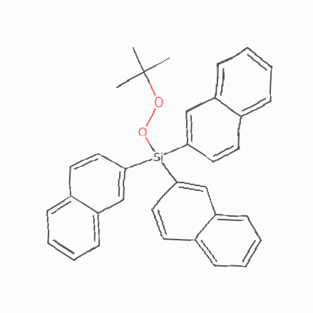 CC(C)(C)OO[Si](c1ccc2ccccc2c1)(c1ccc2ccccc2c1)c1ccc2ccccc2c1